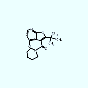 CC(C)(C)c1oc2ncnc(Cl)c2c1C(=O)N1CCCCC1